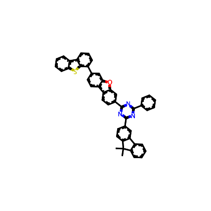 CC1(C)c2ccccc2-c2cc(-c3nc(-c4ccccc4)nc(-c4ccc5c(c4)oc4cc(-c6cccc7c6sc6ccccc67)ccc45)n3)ccc21